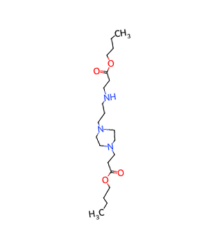 CCCCOC(=O)CCNCCCN1CCN(CCC(=O)OCCCC)CC1